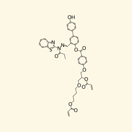 C=CC(=O)OCCCCOCC(COc1ccc(C(=O)Oc2ccc(-c3ccc(O)cc3)cc2/C=N/N(C(=O)CC)c2nc3ccccc3s2)cc1)OC(=O)C=C